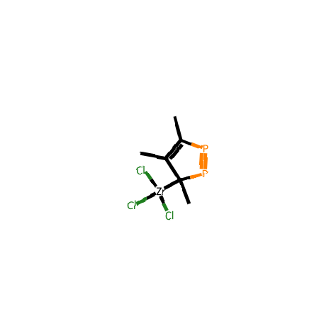 CC1=C(C)[C](C)([Zr]([Cl])([Cl])[Cl])P=P1